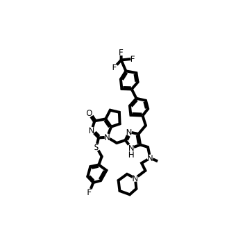 CN(CCN1CCCCC1)Cc1[nH]c(Cn2c(SCc3ccc(F)cc3)nc(=O)c3c2CCC3)nc1Cc1ccc(-c2ccc(C(F)(F)F)cc2)cc1